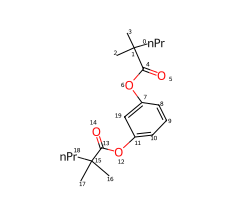 CCCC(C)(C)C(=O)Oc1cccc(OC(=O)C(C)(C)CCC)c1